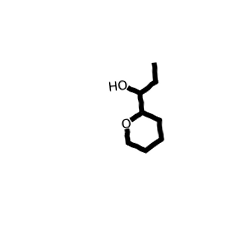 CCC(O)C1CCCCO1